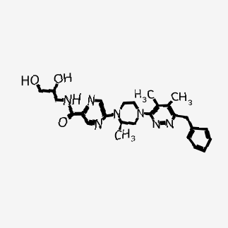 Cc1c(Cc2ccccc2)nnc(N2CCN(c3cnc(C(=O)NCC(O)CO)cn3)[C@H](C)C2)c1C